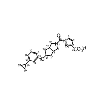 O=C(O)c1ccn(C(=O)N2CC3CC(Oc4cccc(C5CC5)c4)CC3C2)n1